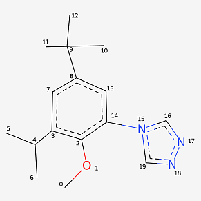 COc1c(C(C)C)cc(C(C)(C)C)cc1-n1cnnc1